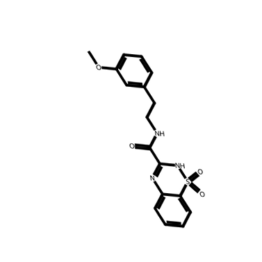 COc1cccc(CCNC(=O)C2=Nc3ccccc3S(=O)(=O)N2)c1